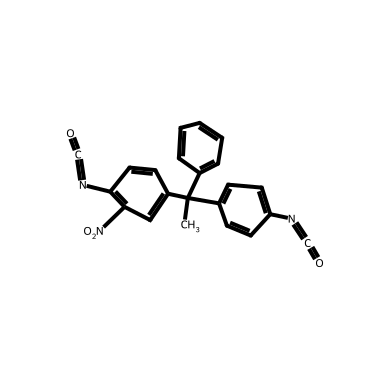 CC(c1ccccc1)(c1ccc(N=C=O)cc1)c1ccc(N=C=O)c([N+](=O)[O-])c1